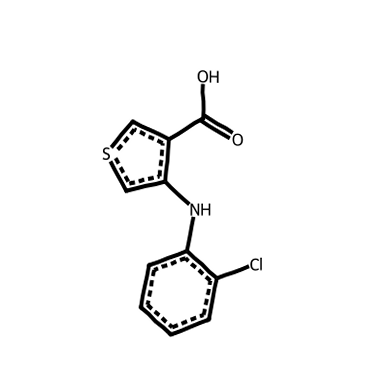 O=C(O)c1cscc1Nc1ccccc1Cl